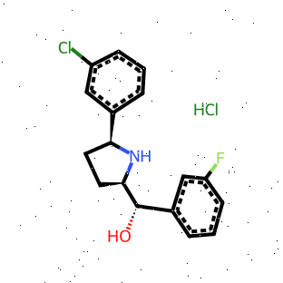 Cl.O[C@@H](c1cccc(F)c1)[C@H]1CC[C@@H](c2cccc(Cl)c2)N1